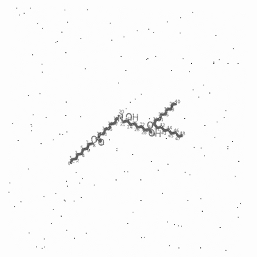 CCCCCCCCCOC(=O)CCCCCCCN(C)CC(O)CCCCCC(O)OC(CCCCCCCC)CCCCCCCC